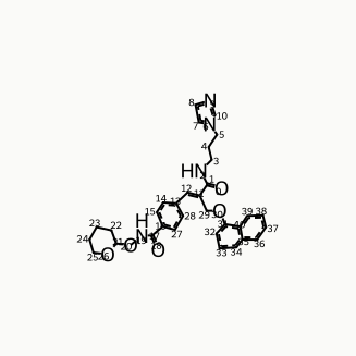 O=C(NCCCn1ccnc1)/C(=C/c1ccc(C(=O)NOC2CCCCO2)cc1)COc1cccc2ccccc12